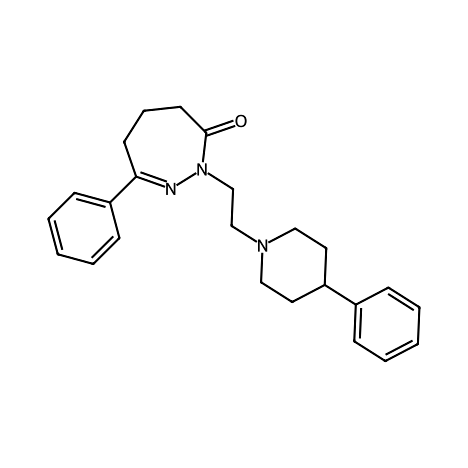 O=C1CCCC(c2ccccc2)=NN1CCN1CCC(c2ccccc2)CC1